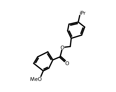 COc1cccc(C(=O)OCc2ccc(C(C)C)cc2)c1